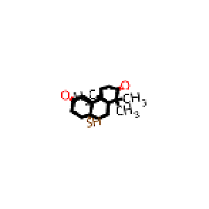 CC1(C)C(=O)CCC2(C)C3=CC(=O)CCC3(S)CCC12